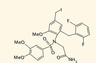 COc1ccc(S(=O)(=O)N(CC(N)=O)c2c(Cc3c(F)cccc3F)cc(CI)cc2OC)cc1OC